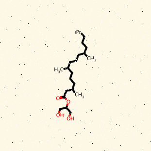 CC(C)CCCC(C)CCCC(C)CCCC(C)CC(=O)OC(CO)CO